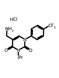 CC(C)n1c(=O)c(CN)cn(-c2ccc(C(F)(F)F)cc2)c1=O.Cl